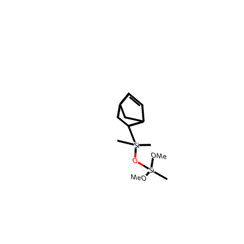 CO[Si](C)(OC)O[Si](C)(C)C1CC2C=CC1C2